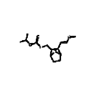 COC=CC1C2CCC(O2)C1COC(=O)OC(C)C